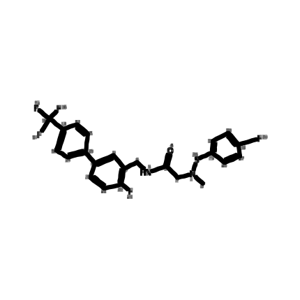 CN(CC(=O)NCc1cc(-c2ccc(C(F)(F)F)cc2)ccc1F)Sc1ccc(F)cc1